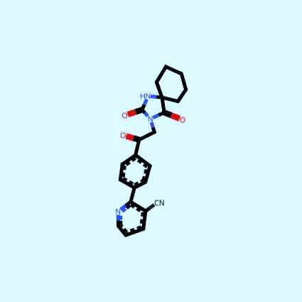 N#Cc1cccnc1-c1ccc(C(=O)CN2C(=O)NC3(CCCCC3)C2=O)cc1